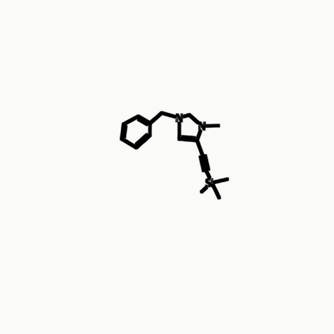 CN1CN(Cc2ccccc2)C=C1C#C[Si](C)(C)C